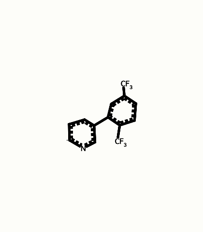 FC(F)(F)c1ccc(C(F)(F)F)c(-c2cc[c]nc2)c1